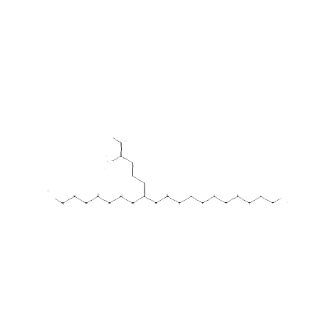 CCCCCCCCCCCCC(CCCCCCCC)CCCC(N)CC